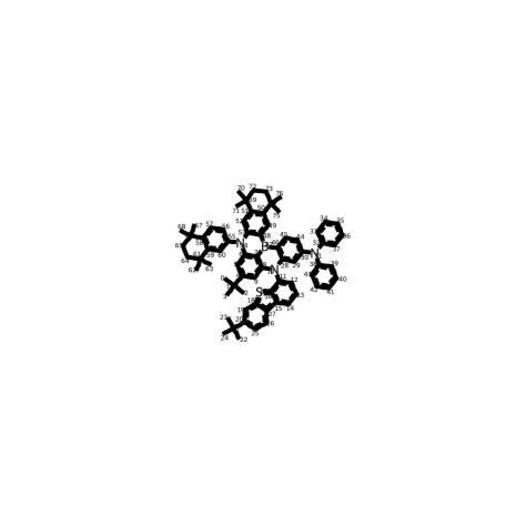 CC(C)(C)c1cc2c3c(c1)N(c1cccc4c1sc1cc(C(C)(C)C)ccc14)c1cc(N(c4ccccc4)c4ccccc4)ccc1B3c1cc3c(cc1N2c1ccc2c(c1)C(C)(C)CCC2(C)C)C(C)(C)CCC3(C)C